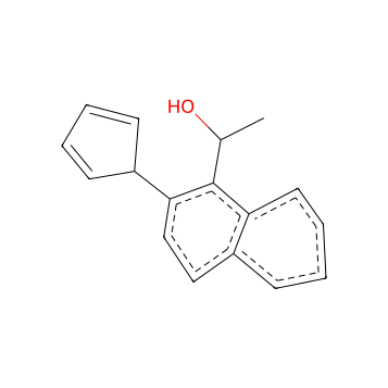 CC(O)c1c(C2C=CC=C2)ccc2ccccc12